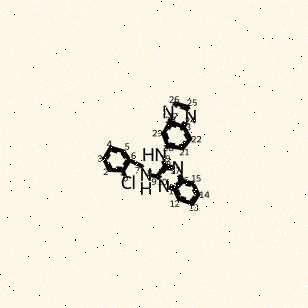 Clc1ccccc1CNc1nc2ccccc2nc1Nc1ccc2nccnc2c1